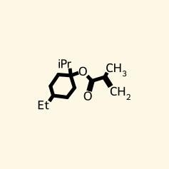 C=C(C)C(=O)OC1(C(C)C)CCC(CC)CC1